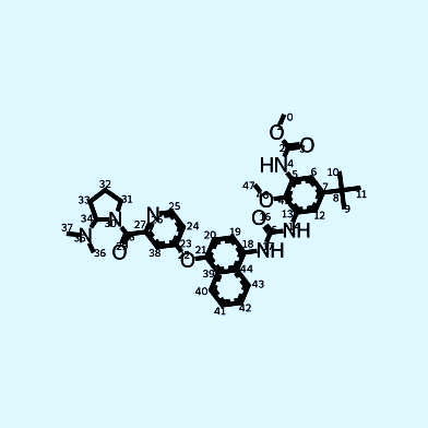 COC(=O)Nc1cc(C(C)(C)C)cc(NC(=O)Nc2ccc(Oc3ccnc(C(=O)N4CCCC4N(C)C)c3)c3ccccc23)c1OC